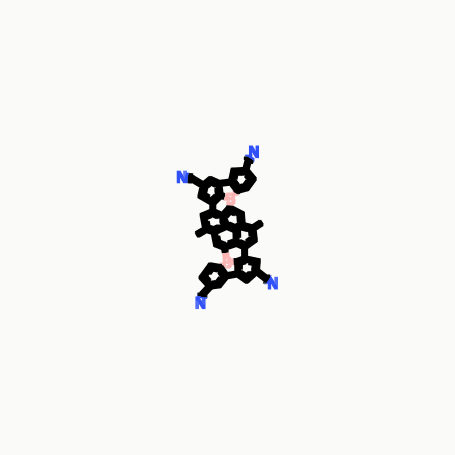 Cc1cc2c3c(cc4c(C)cc5c6c(cc1c3c46)B1c3ccc(C#N)cc3-c3cc(C#N)cc-5c31)B1c3ccc(C#N)cc3-c3cc(C#N)cc-2c31